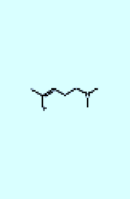 C/C(Br)=C/CCN(C)C